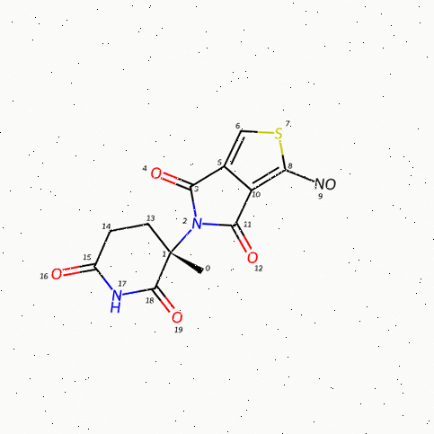 C[C@]1(N2C(=O)c3csc(N=O)c3C2=O)CCC(=O)NC1=O